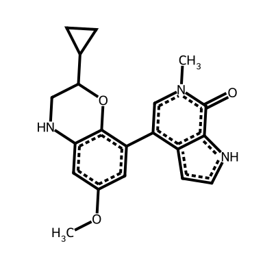 COc1cc2c(c(-c3cn(C)c(=O)c4[nH]ccc34)c1)OC(C1CC1)CN2